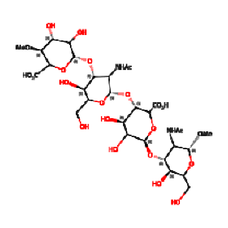 CO[C@@H]1OC(CO)[C@@H](O)[C@H](O[C@@H]2OC(C(=O)O)[C@@H](O[C@@H]3OC(CO)[C@@H](O)[C@H](O[C@@H]4OC(C(=O)O)[C@@H](OC)[C@H](O)C4O)C3NC(C)=O)[C@H](O)C2O)C1NC(C)=O